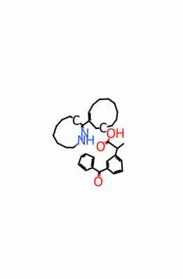 C1=C(C2=NNCCCCCCCC2)CCCCCCCCC1.CC(C(=O)O)c1cccc(C(=O)c2ccccc2)c1